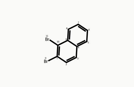 Brc1ccc2ccccc2c1Br